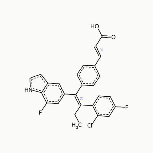 CC/C(=C(/c1ccc(/C=C/C(=O)O)cc1)c1cc(F)c2[nH]ccc2c1)c1ccc(F)cc1Cl